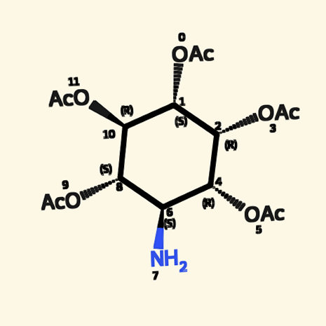 CC(=O)O[C@@H]1[C@H](OC(C)=O)[C@H](OC(C)=O)[C@@H](N)[C@H](OC(C)=O)[C@H]1OC(C)=O